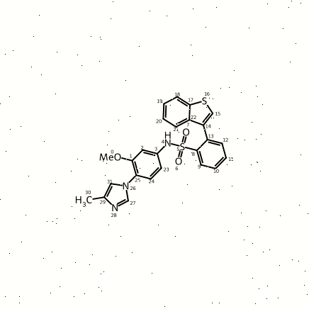 COc1cc(NS(=O)(=O)c2ccccc2-c2csc3ccccc23)ccc1-n1cnc(C)c1